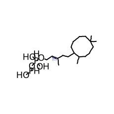 C/C(=C\CO[PH](O)(O)OPO)CCC1CCCCC(C)(C)CCCC1C